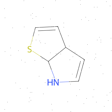 C1=CC2C=CSC2N1